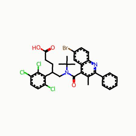 Cc1c(-c2ccccc2)nc2ccc(Br)cc2c1C(=O)N(CC(CCC(=O)O)c1c(Cl)ccc(Cl)c1Cl)C(C)(C)C